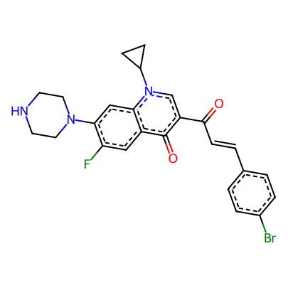 O=C(C=Cc1ccc(Br)cc1)c1cn(C2CC2)c2cc(N3CCNCC3)c(F)cc2c1=O